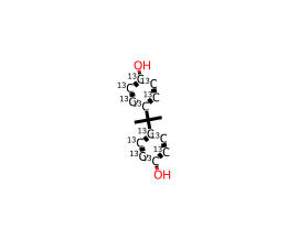 CC(C)([13c]1[13cH][13cH][13c](O)[13cH][13cH]1)[13c]1[13cH][13cH][13c](O)[13cH][13cH]1